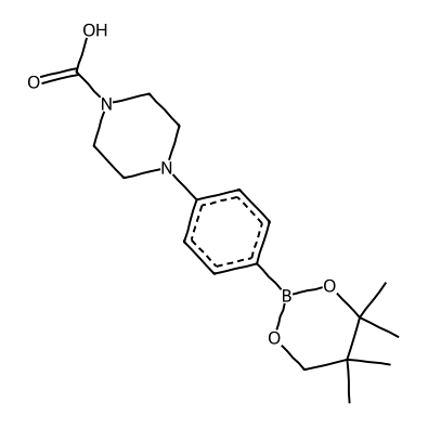 CC1(C)COB(c2ccc(N3CCN(C(=O)O)CC3)cc2)OC1(C)C